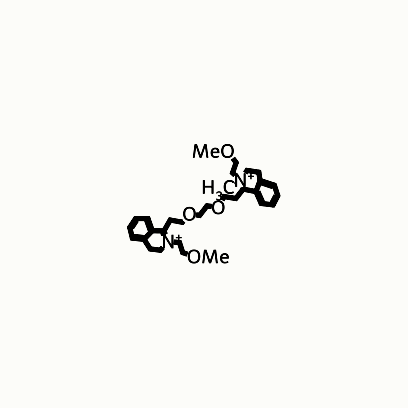 COCC[N+]1=C(CCOCCOCCC2c3ccccc3CC[N+]2(C)CCOC)c2ccccc2CC1